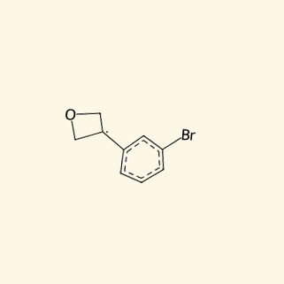 Brc1cccc([C]2COC2)c1